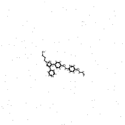 FCCCn1cc(-c2ccncc2)c(-c2ccc(OCc3ccc(OCCF)cn3)cc2)n1